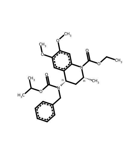 CCOC(=O)N1c2cc(OC)c(OC)cc2[C@@H](N(Cc2ccccc2)C(=O)OC(C)C)C[C@H]1C